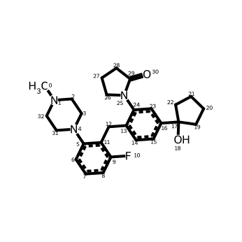 CN1CCN(c2cccc(F)c2Cc2ccc(C3(O)CCCC3)cc2N2CCCC2=O)CC1